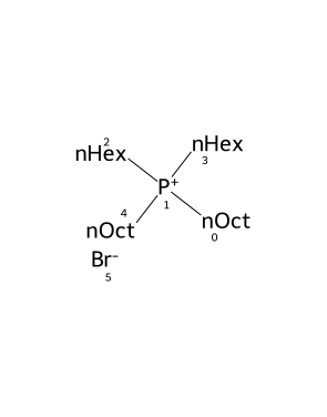 CCCCCCCC[P+](CCCCCC)(CCCCCC)CCCCCCCC.[Br-]